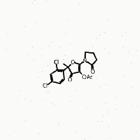 CC(=O)OC1=C(N2CCCC2=O)OC(C)(c2ccc(Cl)cc2Cl)C1=O